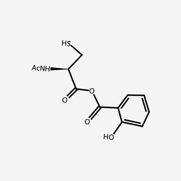 CC(=O)N[C@@H](CS)C(=O)OC(=O)c1ccccc1O